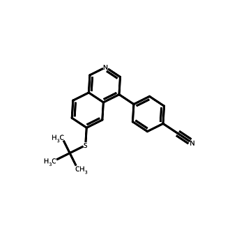 CC(C)(C)Sc1ccc2cncc(-c3ccc(C#N)cc3)c2c1